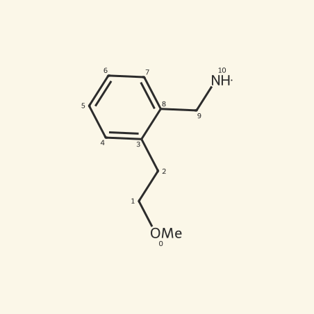 COCCc1ccccc1C[NH]